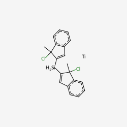 CC1(Cl)C([SiH2]C2=Cc3ccccc3C2(C)Cl)=Cc2ccccc21.[Ti]